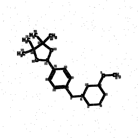 COC1CCCN(Cc2ccc(B3OC(C)(C)C(C)(C)O3)cc2)C1